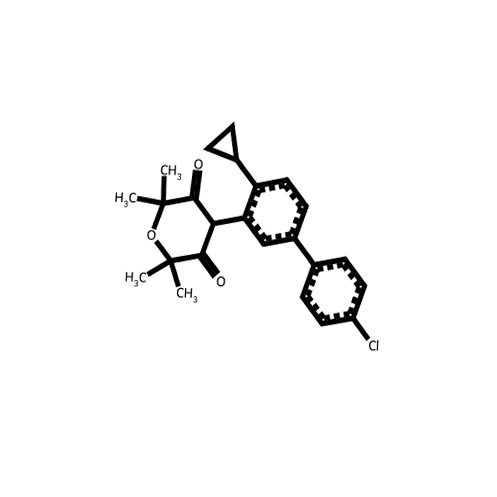 CC1(C)OC(C)(C)C(=O)C(c2cc(-c3ccc(Cl)cc3)ccc2C2CC2)C1=O